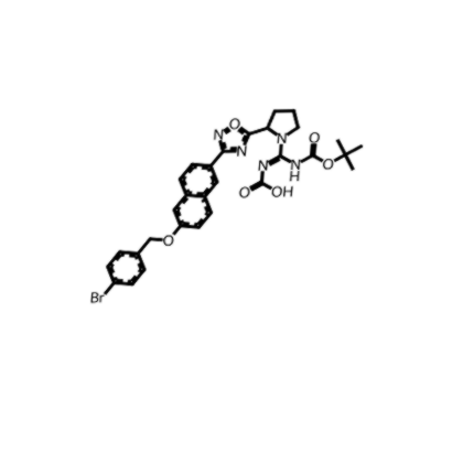 CC(C)(C)OC(=O)NC(=NC(=O)O)N1CCCC1c1nc(-c2ccc3cc(OCc4ccc(Br)cc4)ccc3c2)no1